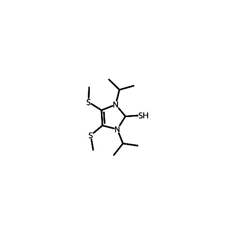 CSC1=C(SC)N(C(C)C)C(S)N1C(C)C